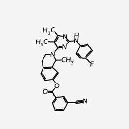 Cc1nc(Nc2ccc(F)cc2)nc(N2CCc3ccc(OC(=O)c4cccc(C#N)c4)cc3C2C)c1C